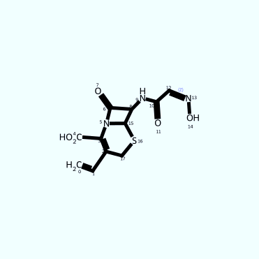 C=CC1=C(C(=O)O)N2C(=O)C(NC(=O)/C=N\O)C2SC1